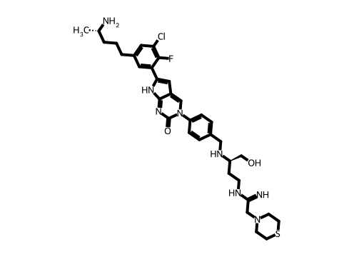 C[C@H](N)CCCc1cc(Cl)c(F)c(-c2cc3cn(-c4ccc(CN[C@@H](CO)CCNC(=N)CN5CCSCC5)cc4)c(=O)nc3[nH]2)c1